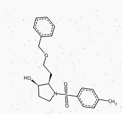 Cc1ccc(S(=O)(=O)N2CC[C@@H](O)[C@H]2CCOCc2ccccc2)cc1